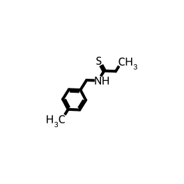 CCC(=S)NCc1ccc(C)cc1